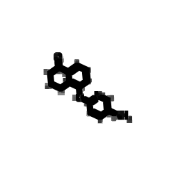 Nc1ccc(Oc2cccc3c2CCCC3=O)nc1